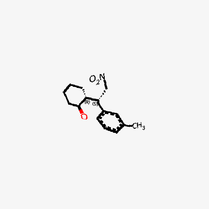 Cc1cccc([C@@H](C[N+](=O)[O-])[C@H]2CCCCC2=O)c1